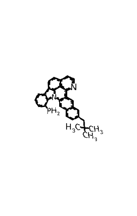 CC(C)(C)Cc1ccc2cc3c(cc2c1)c1nccc2ccc4c5cccc(P)c5n3c4c21